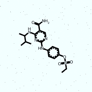 CCS(=O)(=O)Oc1ccc(Nc2ncc(C(N)=O)c(NC(C)C(C)C)n2)cc1